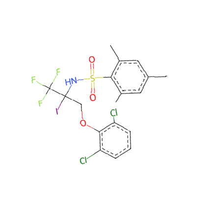 Cc1cc(C)c(S(=O)(=O)NC(I)(COc2c(Cl)cccc2Cl)C(F)(F)F)c(C)c1